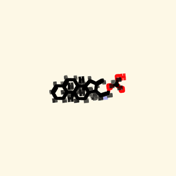 C=C1C[C@H]2[C@@H]3CC=C4C=CCC[C@@H]4[C@H]3CC[C@]2(C)[C@@H]1/C=C\OC(=O)O